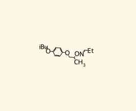 CC/C=N/OC(C)COc1ccc(OC(C)CC)cc1